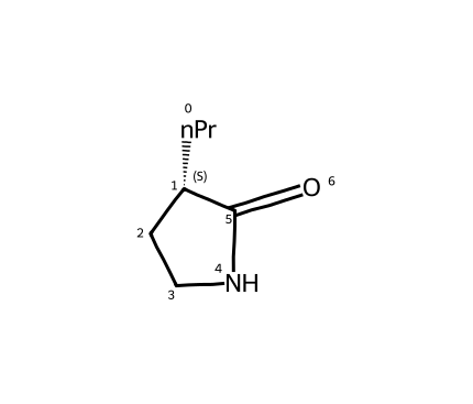 CCC[C@H]1CCNC1=O